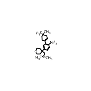 CN(C)CC1(c2ccc(N)c(C3=CCC(C)(C)CC3)c2)CCOCC1